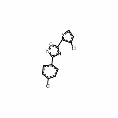 Oc1ccc(-c2noc(-c3sccc3Cl)n2)cc1